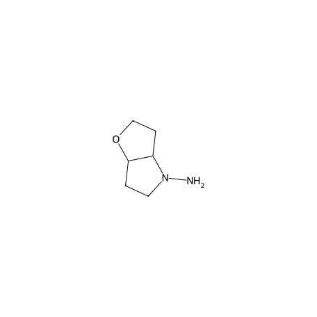 NN1CCC2OCCC21